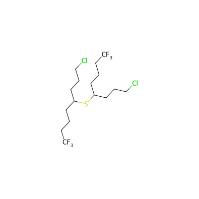 FC(F)(F)CCCC(CCCCl)SC(CCCCl)CCCC(F)(F)F